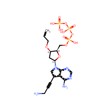 C=CCO[C@@H]1C[C@H](n2cc(C#CCN)c3c(N)ncnc32)O[C@@H]1COP(=O)(O)OP(=O)(O)OP(=O)(O)O